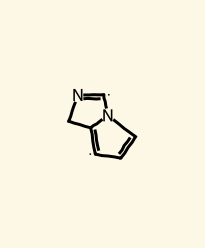 [C]1=NCc2[c]ccn21